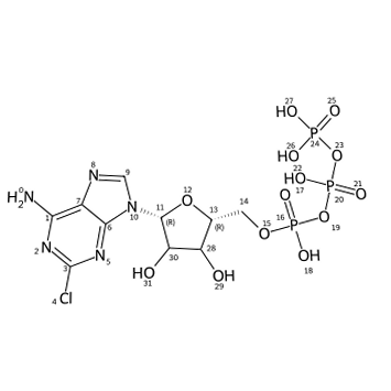 Nc1nc(Cl)nc2c1ncn2[C@@H]1O[C@H](COP(=O)(O)OP(=O)(O)OP(=O)(O)O)C(O)C1O